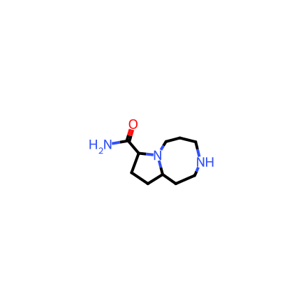 NC(=O)C1CCC2CCNCCCN21